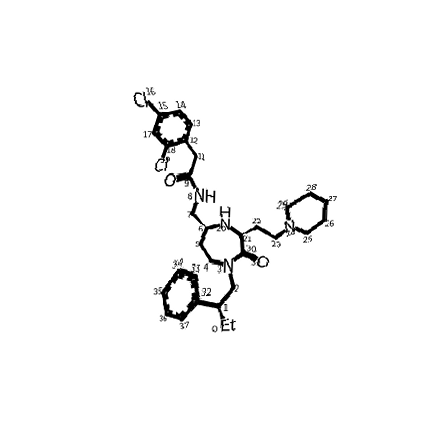 CC[C@H](CN1CC[C@@H](CNC(=O)Cc2ccc(Cl)cc2Cl)N[C@@H](CCN2CCCCC2)C1=O)c1ccccc1